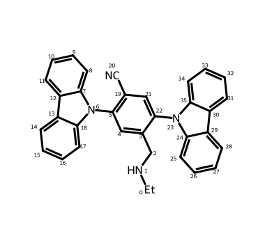 CCNCc1cc(-n2c3ccccc3c3ccccc32)c(C#N)cc1-n1c2ccccc2c2ccccc21